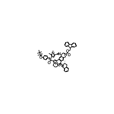 Cc1c(N(C(=O)c2cc(-c3cc4c(cc3C(=O)N3Cc5ccccc5C[C@H]3C)CN(C(=O)OCC3c5ccccc5-c5ccccc53)CC4)n3c2CCCC3)c2ccc(O[Si](C)(C)C(C)(C)C)cc2)cc(C#N)n1C